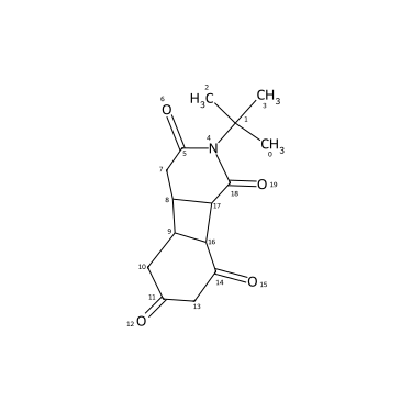 CC(C)(C)N1C(=O)CC2C3CC(=O)CC(=O)C3C2C1=O